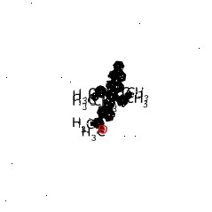 COc1cc(C)cc(-c2ccc3c4cc5c(-c6cccc(C(C)(C)C)c6)c6c7ccc8c9ccc%10c%11c(ccc(c%12ccc(c6c(-c6cccc(C(C)(C)C)c6)c5cc4c4cccc2c43)c7c%128)c%119)-c2ccccc2-%10)c1